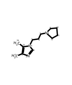 Cc1n[c]n(CCCN2CCCC2)c1C